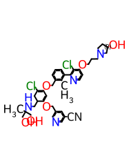 Cc1c(COC2=C(Cl)CC(CNC(C)(CO)CO)C(OCc3cncc(C#N)c3)=C2)cccc1-c1nccc(OCCCN2CC[C@@H](O)C2)c1Cl